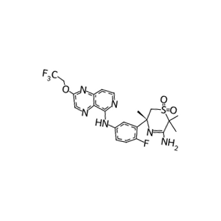 CC1(C)C(N)=N[C@](C)(c2cc(Nc3nccc4nc(OCC(F)(F)F)cnc34)ccc2F)CS1(=O)=O